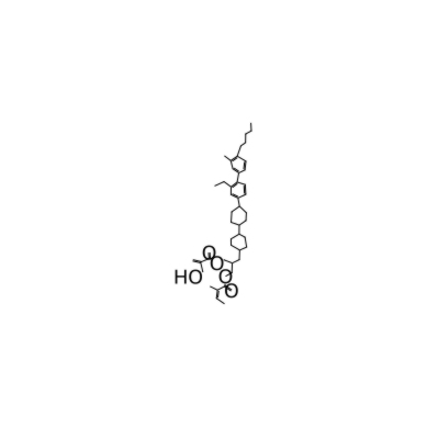 C=C(CO)C(=O)OCC(COC(=O)/C(C)=C\C)CC1CCC(C2CCC(c3ccc(-c4ccc(CCCCC)c(C)c4)c(CC)c3)CC2)CC1